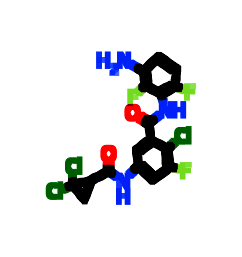 Nc1ccc(F)c(NC(=O)c2cc(NC(=O)C3CC3(Cl)Cl)cc(F)c2Cl)c1F